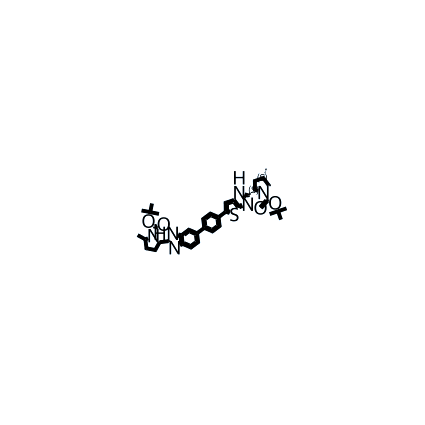 CC1CCC(c2nc3ccc(-c4ccc(-c5cc6[nH]c([C@@H]7C[C@H](C)CN7C(=O)OC(C)(C)C)nc6s5)cc4)cc3[nH]2)N1C(=O)OC(C)(C)C